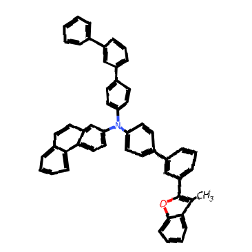 Cc1c(-c2cccc(-c3ccc(N(c4ccc(-c5cccc(-c6ccccc6)c5)cc4)c4ccc5c(ccc6ccccc65)c4)cc3)c2)oc2ccccc12